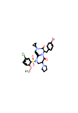 COc1ccc(Cl)cc1S(=O)(=O)N1CC(N2CCCC2)C(=O)N2C1=CN(C1CC1)C(=O)C2Cc1ccc(Br)cc1